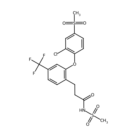 CS(=O)(=O)NC(=O)CCc1ccc(C(F)(F)F)cc1Oc1ccc(S(C)(=O)=O)cc1Cl